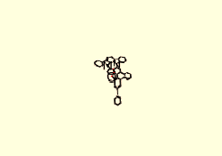 c1ccc(-c2cc3oc4cc(-n5c6ccccc6c6ccc7c8ccccc8n(-c8ccccc8)c7c65)cc5c6ccccc6c(c2)c3c45)cc1